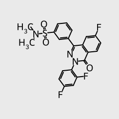 CN(C)S(=O)(=O)c1cccc(-c2nn(-c3ccc(F)cc3F)c(=O)c3ccc(F)cc23)c1